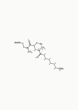 CNCCN(C)C(=O)C(CC(C)=O)CN(C)C(=O)CCCCCCSC